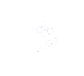 C=C(Cl)C(=O)Nc1ccc2c(-c3ccccc3CNc3nc(NC4CCCCC4)nc4c(C(C)C)cnn34)nccc2c1